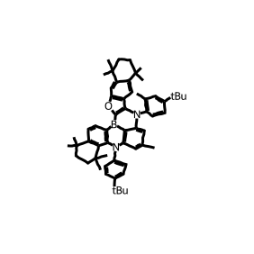 Cc1cc2c3c(c1)N(c1ccc(C(C)(C)C)cc1C)c1c(oc4cc5c(cc14)C(C)(C)CCC5(C)C)B3c1ccc3c(c1N2c1ccc(C(C)(C)C)cc1)C(C)(C)CCC3(C)C